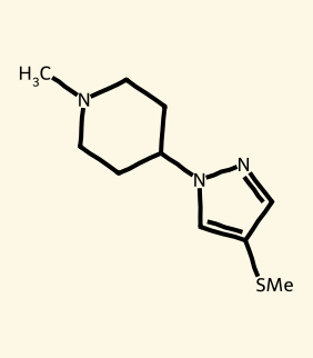 CSc1cnn(C2CCN(C)CC2)c1